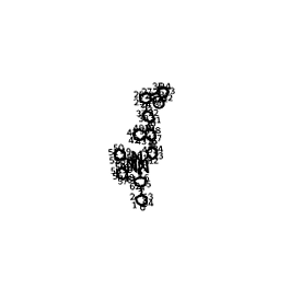 c1ccc(-c2ccc(-c3nc(-c4cccc(-c5ccc(-c6ccc(-c7cccc8c7oc7ccccc78)cc6)c6ccccc56)c4)nc(-c4ccccc4-c4ccccc4)n3)cc2)cc1